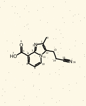 Cc1nc2c(C(=O)O)cccn2c1CCC#N